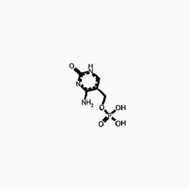 Nc1nc(=O)[nH]cc1COP(=O)(O)O